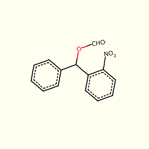 O=[C]OC(c1ccccc1)c1ccccc1[N+](=O)[O-]